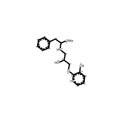 COC(Cc1ccccc1)NCC(O)COc1ncccc1C#N